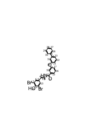 O=C(N/N=C/c1cc(Br)c(O)c(Br)c1)c1cccc(Oc2cccc(-c3ccccc3)c2)c1